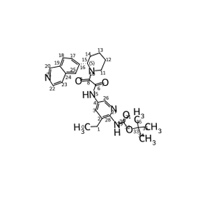 CCc1cc(NC(=O)C(=O)N2CCCC[C@H]2c2ccc3cnccc3c2)cnc1NC(=O)OC(C)(C)C